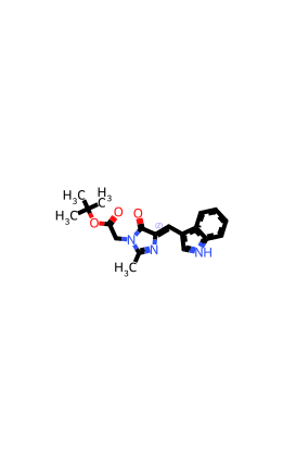 CC1=N/C(=C\c2c[nH]c3ccccc23)C(=O)N1CC(=O)OC(C)(C)C